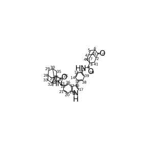 O=C1C2CC3CC1CC(C(=O)Nc1ccc(-c4c[nH]c5ccc(NC(=O)C67CC8CC(CC(C8)C6)C7)cc45)cc1)(C3)C2